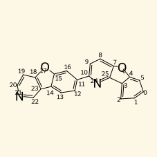 c1ccc2c(c1)oc1ccc(-c3ccc4c(c3)oc3ccncc34)nc12